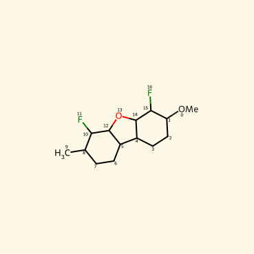 COC1CCC2C3CCC(C)C(F)C3OC2C1F